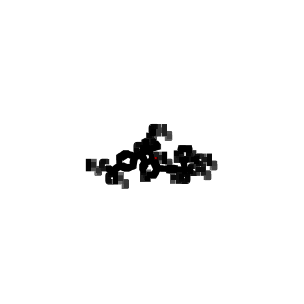 CC(C)c1ccc(C(O)(c2cncc(C#CC(C)(O)c3nccn3C)c2)C2(C)CN(C)C2)cc1